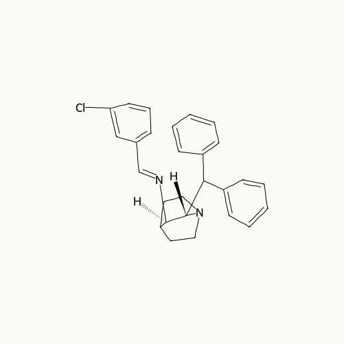 Clc1cccc(/C=N/[C@@H]2C3CCN(CC3)[C@H]2C(c2ccccc2)c2ccccc2)c1